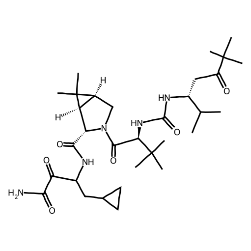 CC(C)[C@@H](CC(=O)C(C)(C)C)NC(=O)N[C@H](C(=O)N1C[C@H]2[C@@H]([C@H]1C(=O)NC(CC1CC1)C(=O)C(N)=O)C2(C)C)C(C)(C)C